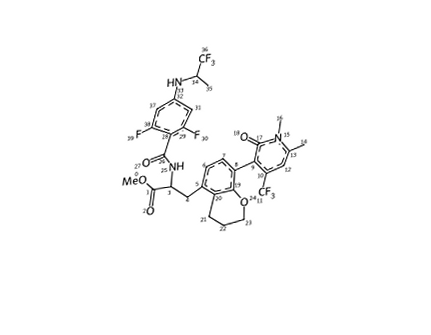 COC(=O)C(Cc1ccc(-c2c(C(F)(F)F)cc(C)n(C)c2=O)c2c1CCCO2)NC(=O)c1c(F)cc(NC(C)C(F)(F)F)cc1F